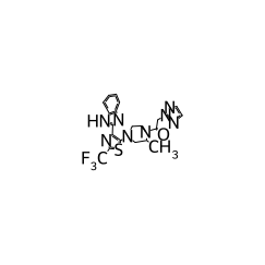 CC1CN(c2sc(C(F)(F)F)nc2-c2nc3ccccc3[nH]2)CCN1C(=O)Cn1nccn1